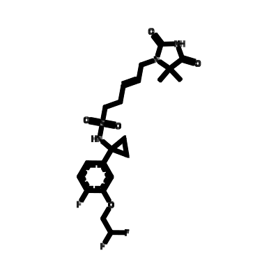 CC1(C)C(=O)NC(=O)N1C/C=C/CCS(=O)(=O)NC1(c2ccc(F)c(OCC(F)F)c2)CC1